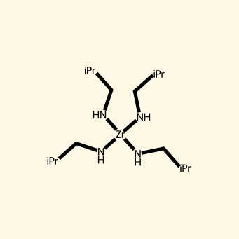 CC(C)C[NH][Zr]([NH]CC(C)C)([NH]CC(C)C)[NH]CC(C)C